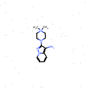 C[N+]1(C)CCN(c2nn3ccccc3c2N)CC1